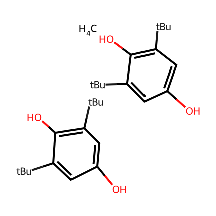 C.CC(C)(C)c1cc(O)cc(C(C)(C)C)c1O.CC(C)(C)c1cc(O)cc(C(C)(C)C)c1O